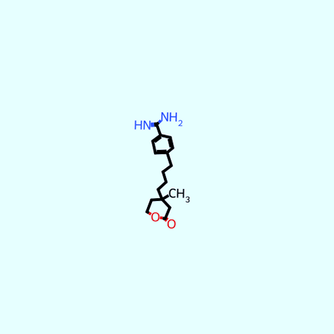 CC1(CCCCc2ccc(C(=N)N)cc2)CCOC(=O)C1